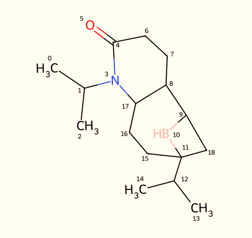 CC(C)N1C(=O)CCC2C3BC(C(C)C)(CCC21)C3